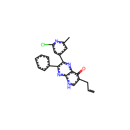 C=CCc1c[nH]c2nc(-c3ccccc3)c(-c3cc(C)nc(Cl)c3)nc2c1=O